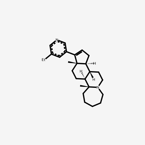 CCc1cncc(C2=CC[C@H]3[C@@H]4CCN5CCCCC[C@]5(C)[C@H]4CC[C@]23C)c1